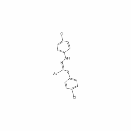 CC(=O)C(=NNc1ccc(Cl)cc1)Sc1ccc(Cl)cc1